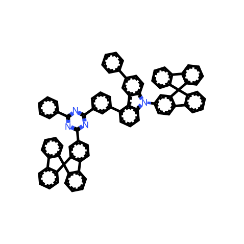 c1ccc(-c2ccc3c(c2)c2c(-c4cccc(-c5nc(-c6ccccc6)nc(-c6ccc7c(c6)C6(c8ccccc8-c8ccccc86)c6ccccc6-7)n5)c4)cccc2n3-c2ccc3c(c2)C2(c4ccccc4-c4ccccc42)c2ccccc2-3)cc1